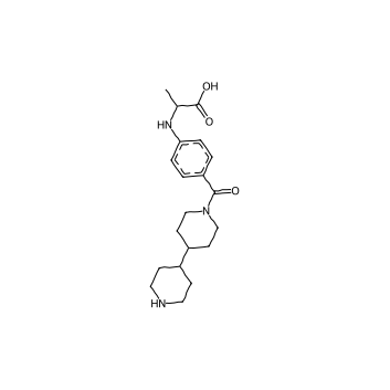 CC(Nc1ccc(C(=O)N2CCC(C3CCNCC3)CC2)cc1)C(=O)O